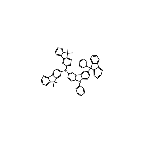 CC1(C)c2ccccc2-c2cc(N(c3ccc4c(c3)C(C)(C)c3ccccc3-4)c3ccc4c(c3)c3cc(C5(c6ccccc6)c6ccccc6-c6ccccc65)ccc3n4-c3ccccc3)ccc21